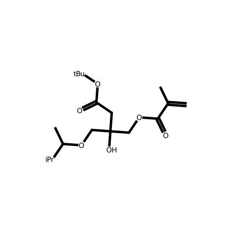 C=C(C)C(=O)OCC(O)(COC(C)C(C)C)CC(=O)OC(C)(C)C